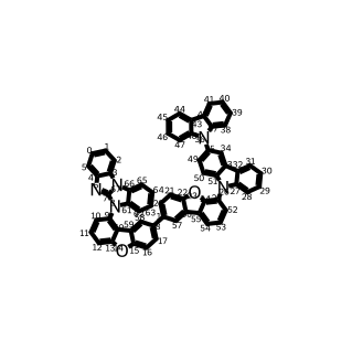 c1ccc2c(c1)nc1n(-c3cccc4oc5ccc(-c6ccc7oc8c(-n9c%10ccccc%10c%10cc(-n%11c%12ccccc%12c%12ccccc%12%11)ccc%109)cccc8c7c6)cc5c34)c3ccccc3n21